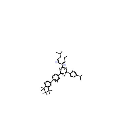 CC/C=C(\C=C/CC(C)C)c1nc(-c2ccc(C(C)C)cc2)nc(-c2ccc(-c3ccc4c(c3)C(C)(C)C(C)(C)C4(C)C)nc2)n1